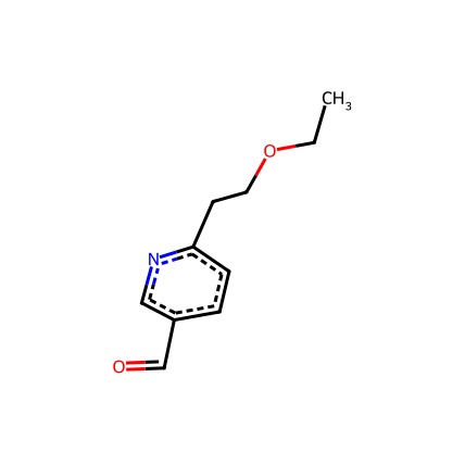 CCOCCc1ccc(C=O)cn1